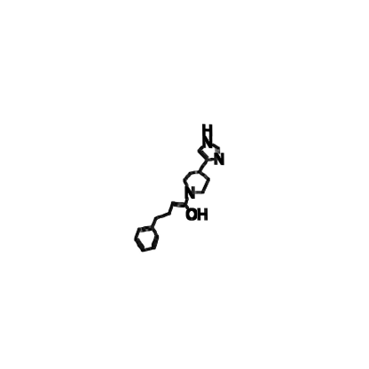 O/C(=C\CCc1ccccc1)N1CCC(c2c[nH]cn2)CC1